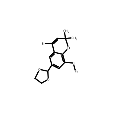 CCOc1cc(C2OCCO2)cc2c1OC(C)(C)C=C2Br